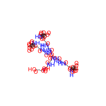 CC(=O)N[C@H]1[C@H](OCCCCC(=O)NCCCNC(=O)CCOCC(COCCC(=O)NCCCNC(=O)CCCCO[C@@H]2O[C@H](COC(C)=O)[C@H](OC(C)=O)[C@H](OC(C)=O)[C@H]2NC(C)=O)(COCCC(=O)NCCCNC(=O)CCCCO[C@@H]2O[C@H](COC(C)=O)[C@H](OC(C)=O)[C@H](OC(C)=O)[C@H]2NC(C)=O)NC(=O)CCCC(=O)NCCCOP(=O)(O)OCCCCCC(=O)O)O[C@H](COC(C)=O)[C@H](OC(C)=O)[C@@H]1OC(C)=O